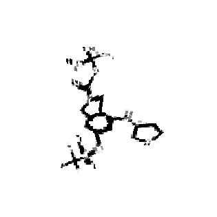 CC(C)(C)OC(=O)N1Cc2cc(OS(=O)(=O)C(F)(F)F)cc(N[C@H]3CCOC3)c2C1